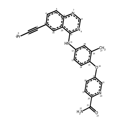 C[C](C)C#Cc1ccc2ncnc(Nc3ccc(Oc4ccc(C(N)=O)nc4)c(C)c3)c2c1